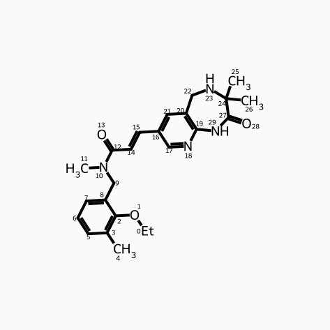 CCOc1c(C)cccc1CN(C)C(=O)/C=C/c1cnc2c(c1)CNC(C)(C)C(=O)N2